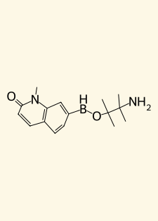 Cn1c(=O)ccc2ccc(BOC(C)(C)C(C)(C)N)cc21